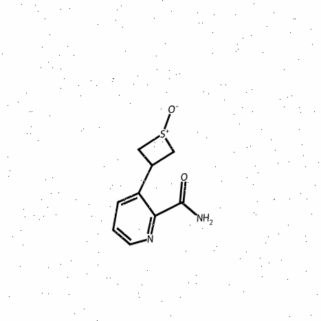 NC(=O)c1ncccc1C1C[S+]([O-])C1